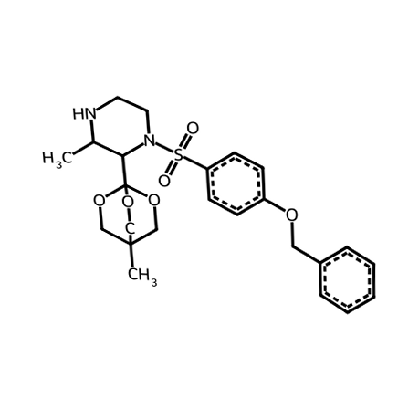 CC1NCCN(S(=O)(=O)c2ccc(OCc3ccccc3)cc2)C1C12OCC(C)(CO1)CO2